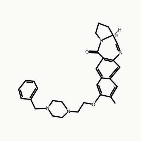 Cc1cc2cc3c(cc2cc1OCCN1CCN(Cc2ccccc2)CC1)C(=O)N1CCC[C@H]1C=N3